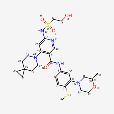 CSc1ccc(NC(=O)c2cnc(NS(=O)(=O)CCO)cc2N2CCC3(CC2)CC3)cc1N1CCO[C@H](C)C1